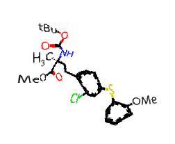 COC(=O)[C@](C)(CCc1ccc(Sc2ccccc2OC)cc1Cl)NC(=O)OC(C)(C)C